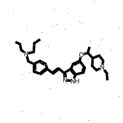 CCCN(CCC)Cc1ccc(/C=C/c2n[nH]c3ccc(OC(C)C4CCN(CC)CC4)cc23)cc1